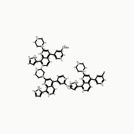 COc1cc(-c2cc(N3CCOCC3)nc3c(-c4ccn[nH]4)nccc23)ccn1.COc1cncc(-c2cc(N3CCOCC3)nc3c(-c4ccn[nH]4)nccc23)c1.Cc1cncc(-c2cc(N3CCOCC3)nc3c(-c4ccn[nH]4)nccc23)c1